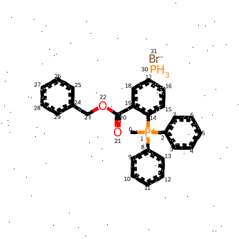 C[P+](c1ccccc1)(c1ccccc1)c1ccccc1C(=O)OCc1ccccc1.P.[Br-]